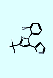 FC(F)(F)c1cc(-c2cccs2)n(-c2ccccc2Cl)n1